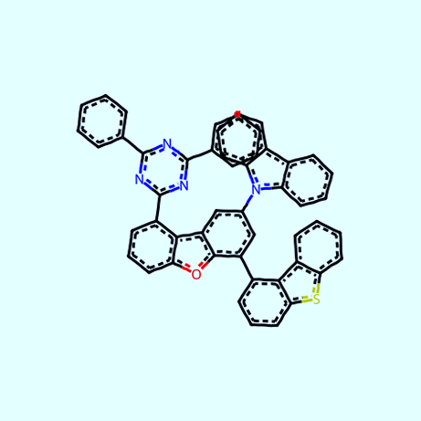 c1ccc(-c2nc(-c3ccccc3)nc(-c3cccc4oc5c(-c6cccc7sc8ccccc8c67)cc(-n6c7ccccc7c7ccccc76)cc5c34)n2)cc1